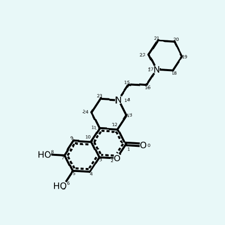 O=c1oc2cc(O)c(O)cc2c2c1CN(CCN1CCCCC1)CC2